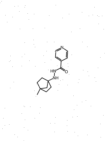 CC12CCC(NNC(=O)c3ccncc3)(CC1)C2